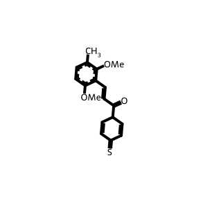 COc1ccc(C)c(OC)c1/C=C/C(=O)C1C=CC(=S)C=C1